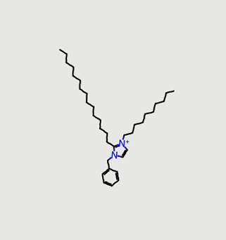 CCCCCCCCCCCCCCCc1n(Cc2ccccc2)cc[n+]1CCCCCCCCCC